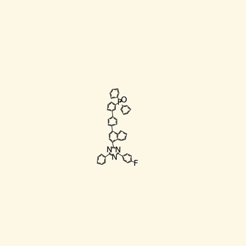 O=P(c1ccccc1)(c1ccccc1)c1cccc(-c2ccc(-c3ccc(-c4nc(-c5ccccc5)nc(-c5ccc(F)cc5)n4)c4ccccc34)cc2)c1